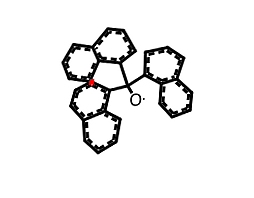 [O]C(c1cccc2ccccc12)(c1cccc2ccccc12)c1cccc2ccccc12